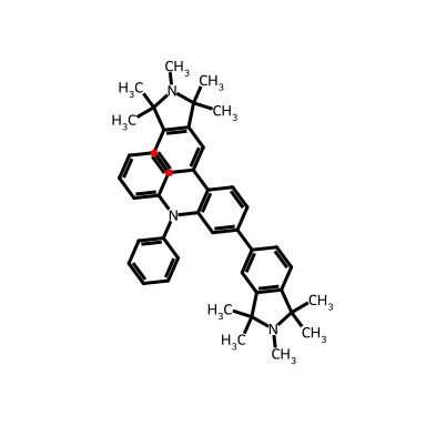 CN1C(C)(C)c2ccc(-c3ccc(-c4ccc5c(c4)C(C)(C)N(C)C5(C)C)c(N(c4ccccc4)c4ccccc4)c3)cc2C1(C)C